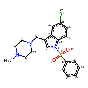 CN1CCN(Cc2cn(S(=O)(=O)c3ccccc3)c3ccc(Br)cc23)CC1